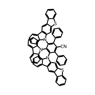 N#Cc1c(-c2ccccc2)c(-n2c3ccccc3c3cc4c(cc32)sc2ccccc24)c(-n2c3ccccc3c3ccccc32)c(-n2c3ccccc3c3cc4c(cc32)sc2ccccc24)c1-c1ccccc1